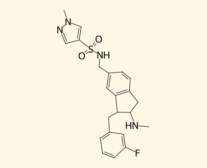 CNC1Cc2ccc(CNS(=O)(=O)c3cnn(C)c3)cc2C1Cc1cccc(F)c1